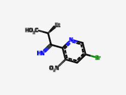 CC[C@@H](C(=N)c1ncc(Br)cc1[N+](=O)[O-])C(=O)O